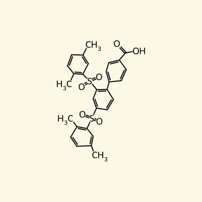 Cc1ccc(C)c(S(=O)(=O)c2ccc(-c3ccc(C(=O)O)cc3)c(S(=O)(=O)c3cc(C)ccc3C)c2)c1